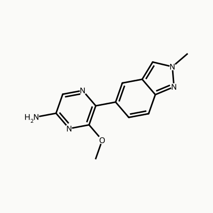 COc1nc(N)cnc1-c1ccc2nn(C)cc2c1